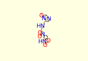 COc1ccc2nccc(CCNCC[C@H]3CN(c4ccc5c(c4)NC(=O)CO5)C(=O)O3)c2n1